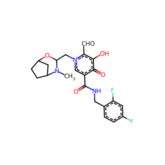 CN1C2CCC(C2)OC1Cn1cc(C(=O)NCc2ccc(F)cc2F)c(=O)c(O)c1C=O